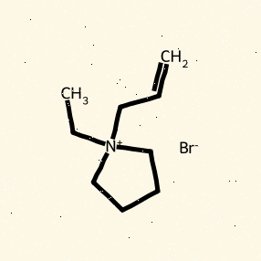 C=CC[N+]1(CC)CCCC1.[Br-]